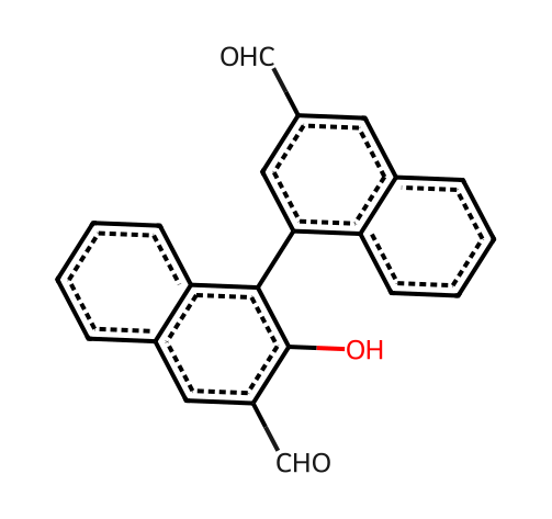 O=Cc1cc(-c2c(O)c(C=O)cc3ccccc23)c2ccccc2c1